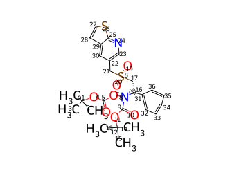 CC(C)(C)OC(=O)ON(C(=O)OC(C)(C)C)[C@H](CS(=O)(=O)Cc1cnc2sccc2c1)c1ccccc1